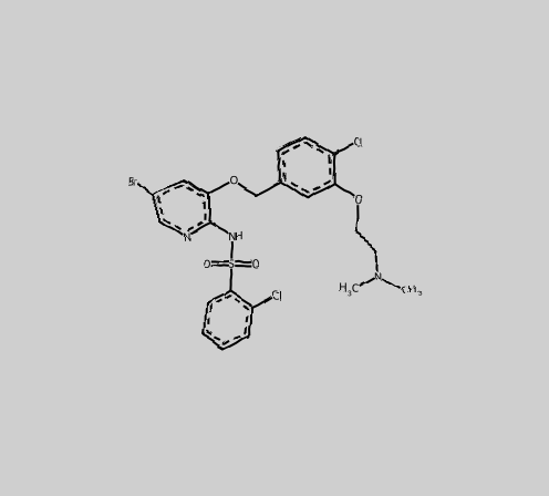 CN(C)CCOc1cc(COc2cc(Br)cnc2NS(=O)(=O)c2ccccc2Cl)ccc1Cl